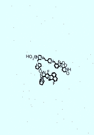 C#Cc1c(F)ccc2cccc(-c3ncc4c(N5CC6CCC(C5)N6)nc(OC[C@@]56CCCN5[C@H](CC5CN(CCC7CCN(Cc8cccc9c8n(C)c(=O)n9C8CCC(=O)NC8=O)CC7)CCN5C(=O)O)CC6)nc4c3F)c12